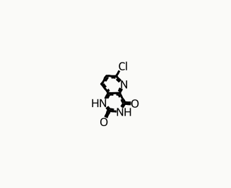 O=c1[nH]c(=O)c2nc(Cl)ccc2[nH]1